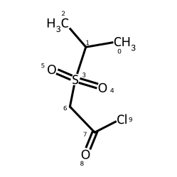 CC(C)S(=O)(=O)CC(=O)Cl